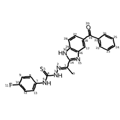 C/C(=N\NC(=S)Nc1ccc(F)cc1)c1nc2cc(C(=O)c3ccccc3)ccc2[nH]1